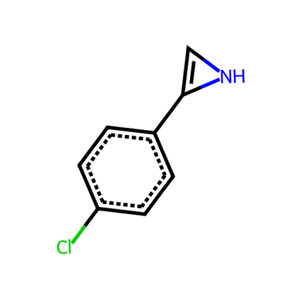 Clc1ccc(C2=CN2)cc1